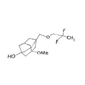 COC12CC3CC(O)(CC(COCC(C)(F)F)(C3)C1)C2